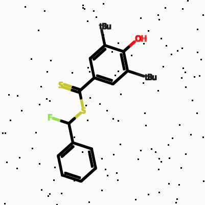 CC(C)(C)c1cc(C(=S)SC(F)c2ccccc2)cc(C(C)(C)C)c1O